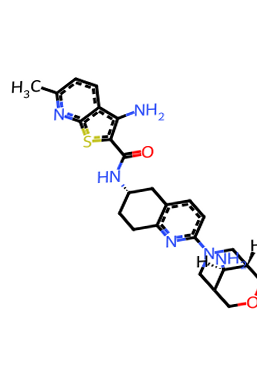 Cc1ccc2c(N)c(C(=O)N[C@H]3CCc4nc(N5CC6COC[C@@H](C5)[C@@H]6N)ccc4C3)sc2n1